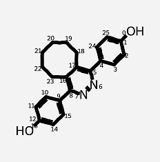 Oc1ccc(-c2nnc(-c3ccc(O)cc3)c3c2CCCCCC3)cc1